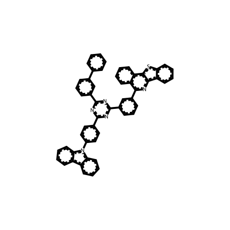 c1ccc(-c2cccc(-c3nc(-c4ccc(-n5c6ccccc6c6ccccc65)cc4)nc(-c4cccc(-c5nc6c7ccccc7sc6c6ccccc56)c4)n3)c2)cc1